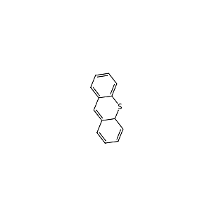 C1=CC2=Cc3ccccc3SC2C=C1